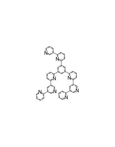 c1ccc(-c2cncc(-c3cccc(-c4cc(-c5cccc(-c6cccnc6)n5)cc(-c5cccc(-c6cncc(-c7ccccn7)c6)n5)c4)n3)c2)nc1